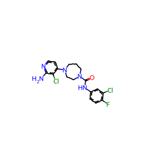 Nc1nccc(N2CCCN(C(=O)Nc3ccc(F)c(Cl)c3)CC2)c1Cl